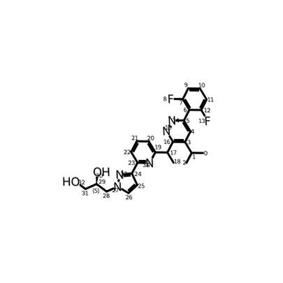 CC(C)c1cc(-c2c(F)cccc2F)nnc1C(C)c1cccc(-c2ccn(C[C@H](O)CO)n2)n1